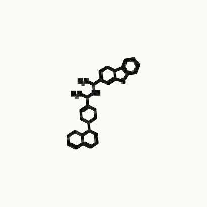 NC(NC(N)C1=CCC(C2C=CC=C3C=CCCC32)CC1)C1=CCC2C(=C1)Sc1ccccc12